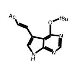 CC(=O)/C=C/c1c[nH]c2ncnc(OC(C)(C)C)c12